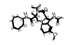 COc1ccc2c(c1)c(NC(C)=O)c1n2CC(C)(C(=O)NC2CCCCCC2)N(C(C)C)C1=O